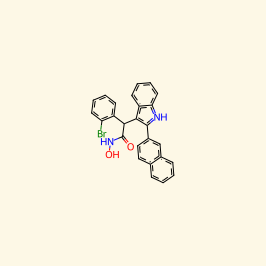 O=C(NO)C(c1ccccc1Br)c1c(-c2ccc3ccccc3c2)[nH]c2ccccc12